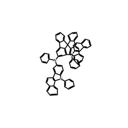 c1ccc(N(c2cc3c(c(N(c4ccccc4)c4ccc5ccccc5c4)c2)C2(c4ccccc4-c4cc5ccccc5cc42)c2ccccc2-3)c2ccc3c(c2)c2ccc4ccccc4c2n3-c2ccccc2)cc1